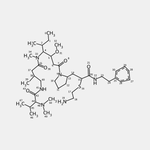 CCC(C)C(C(CC(=O)N1CCCC1CC(SCCN)C(=O)NCCc1ccccc1)OC)N(C)C(=O)CC(C)CNC(=O)C(C(C)C)N(C)C